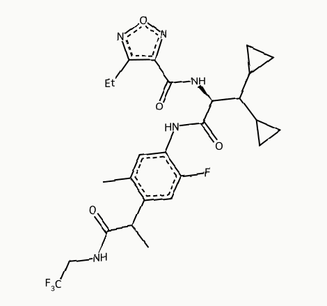 CCc1nonc1C(=O)N[C@H](C(=O)Nc1cc(C)c(C(C)C(=O)NCC(F)(F)F)cc1F)C(C1CC1)C1CC1